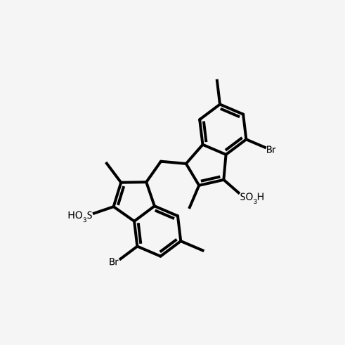 CC1=C(S(=O)(=O)O)c2c(Br)cc(C)cc2C1CC1C(C)=C(S(=O)(=O)O)c2c(Br)cc(C)cc21